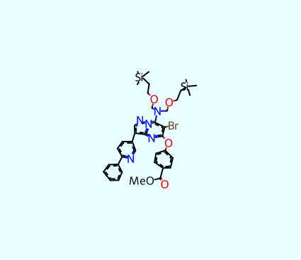 COC(=O)c1ccc(Oc2nc3c(-c4ccc(-c5ccccc5)nc4)cnn3c(N(COCC[Si](C)(C)C)COCC[Si](C)(C)C)c2Br)cc1